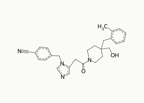 Cc1ccccc1CC1(CO)CCN(C(=O)Cc2cncn2Cc2ccc(C#N)cc2)CC1